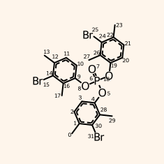 Cc1ccc(OP(=O)(Oc2ccc(C)c(Br)c2C)Oc2ccc(C)c(Br)c2C)c(C)c1Br